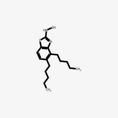 CCCCCc1ccc2sc(NS)nc2c1CCCCC